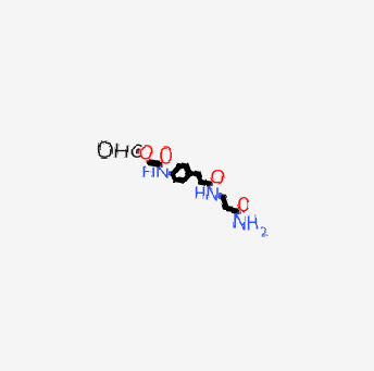 NC(=O)CCNC(=O)CCc1ccc(NC(=O)COC=O)cc1